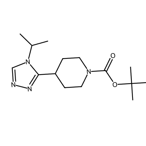 CC(C)n1cnnc1C1CCN(C(=O)OC(C)(C)C)CC1